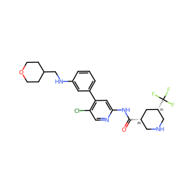 O=C(Nc1cc(-c2cccc(NCC3CCOCC3)c2)c(Cl)cn1)[C@H]1CNC[C@@H](C(F)(F)F)C1